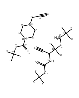 C#CC(NC(=O)OC(C)(C)C)C(C)(C)O[SiH2]C(C)(C)C.C#CCN1CCN(C(=O)OC(C)(C)C)CC1